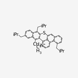 Cc1c2c(c(CC(C)C)c3ccc(CC(C)C)cc13)Sc1cc3cccc(CC(C)C)c3c3cc[n+](C)c-2c13